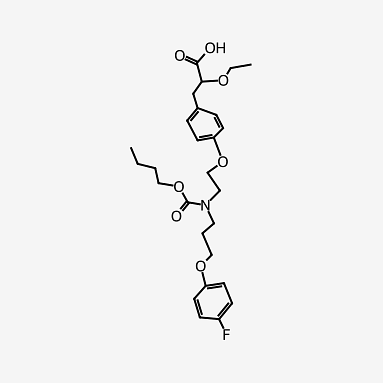 CCCCOC(=O)N(CCCOc1ccc(F)cc1)CCOc1ccc(CC(OCC)C(=O)O)cc1